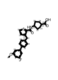 COc1cc(F)cc(-c2ccc(Cc3ccsc3C(=O)NC3CCC(C(=O)O)CC3)cc2)c1